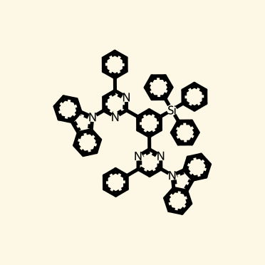 c1ccc(-c2cc(-n3c4ccccc4c4ccccc43)nc(-c3cc(-c4nc(-c5ccccc5)cc(-n5c6ccccc6c6ccccc65)n4)cc([Si](c4ccccc4)(c4ccccc4)c4ccccc4)c3)n2)cc1